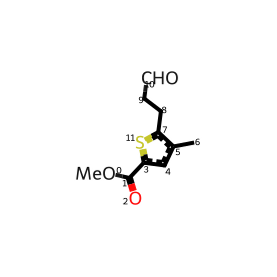 COC(=O)c1cc(C)c(CCC=O)s1